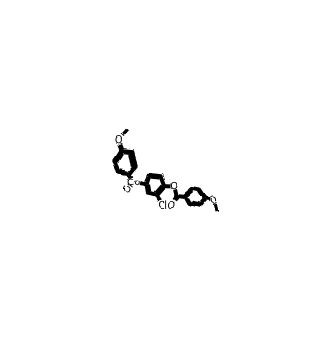 COc1ccc(C(=O)Oc2cc[c]([Co](=[O])[c]3ccc(OC)cc3)cc2Cl)cc1